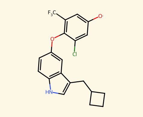 [O]c1cc(Cl)c(Oc2ccc3[nH]cc(CC4CCC4)c3c2)c(C(F)(F)F)c1